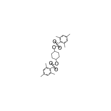 Cc1cc(C)c(S(=O)(=O)OC2CCC(OS(=O)(=O)c3c(C)cc(C)cc3C)CC2)c(C)c1